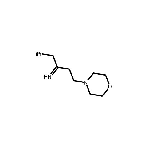 [CH2]C(C)CC(=N)CCN1CCOCC1